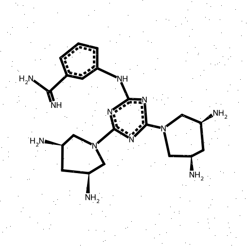 N=C(N)c1cccc(Nc2nc(N3C[C@H](N)C[C@H](N)C3)nc(N3C[C@H](N)C[C@H](N)C3)n2)c1